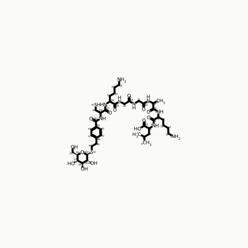 CC(C)CC(NC(=O)C(CCCCN)NC(=O)C(C)NC(=O)CNC(=O)CNC(=O)C(CCCCN)NC(=O)C(CS)NC(=O)c1ccc(CCS[C@@H]2O[C@H](CO)[C@@H](O)[C@H](O)[C@H]2O)cc1)C(=O)O